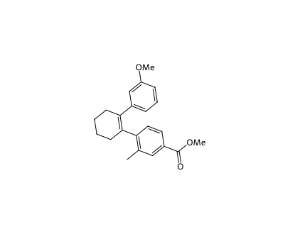 COC(=O)c1ccc(C2=C(c3cccc(OC)c3)CCCC2)c(C)c1